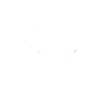 C[C@H]1COCCN1C(=O)c1ccc(Nc2cc(Br)cn(C)c2=O)nc1